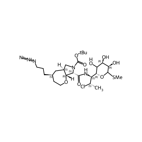 CSC1O[C@H]([C@H](NC(=O)[C@@H]2[C@@H]3OCC[C@@H](CCCN=[N+]=[N-])C[C@H]3CN2C(=O)OC(C)(C)C)[C@H](C)Cl)C(O)[C@@H](O)[C@H]1O